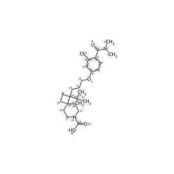 CN(C)C(=O)c1ccc(OCCCC2(C(C)(C)C)CCC23CCN(C(=O)O)CC3)cc1Cl